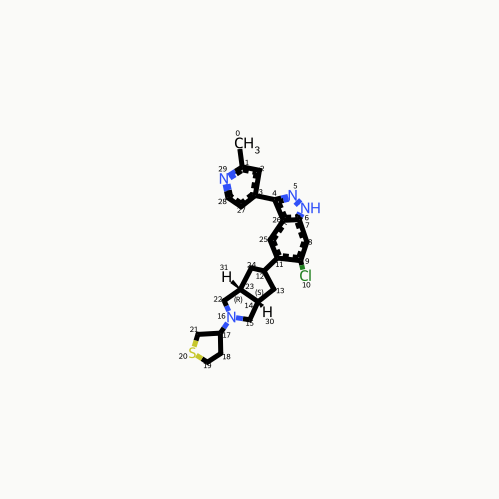 Cc1cc(-c2n[nH]c3cc(Cl)c(C4C[C@@H]5CN(C6CCSC6)C[C@@H]5C4)cc23)ccn1